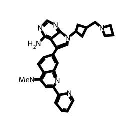 CNc1cc(-c2ccccn2)nc2cc(-c3cn(C4CC(CN5CCC5)C4)c4ncnc(N)c34)ccc12